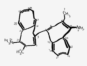 Cc1cc(-c2cc(C)c(N)c3ccccc23)c2ccccc2c1N